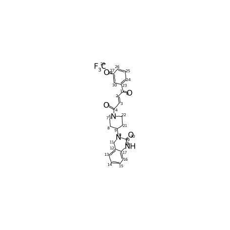 O=C(/C=C/C(=O)N1CCC(N2Cc3ccccc3NC2=O)CC1)c1cccc(OC(F)(F)F)c1